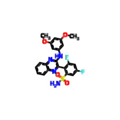 COc1cc(Nc2nc3ccccc3nc2-c2c(F)cc(F)cc2S(N)(=O)=O)cc(OC)c1